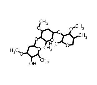 COC1CC(OC2C(C)OC(OC3C(C)OCC(C)C3OC)CC2OC)OC(C)C1O